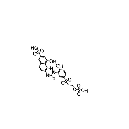 Nc1ccc2cc(S(=O)(=O)O)cc(O)c2c1/N=N/c1cc(S(=O)(=O)CCOS(=O)(=O)O)ccc1O